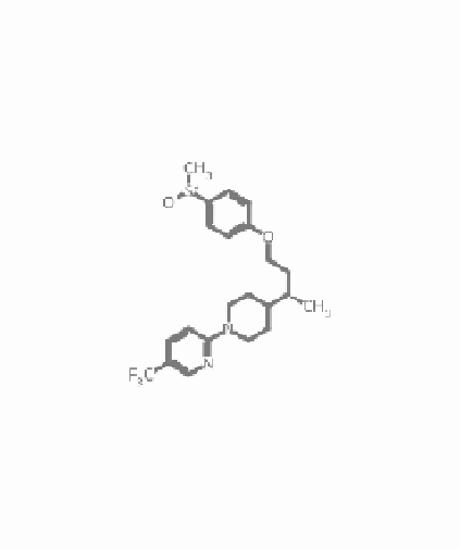 C[C@H](CCOc1ccc([S+](C)[O-])cc1)C1CCN(c2ccc(C(F)(F)F)cn2)CC1